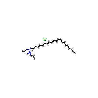 C=CCN(CCCCCCCCCCCC/C=C\CCCCCCCC)[N+](C)(C)CCC.[Cl-]